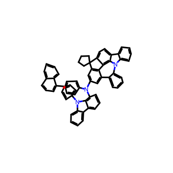 c1ccc(-n2c3ccccc3c3cccc(N(c4ccc(-c5cccc6ccccc56)cc4)c4cc5c6c(c4)C4(CCCC4)c4ccc7c8ccccc8n(c7c4-6)-c4ccccc4-5)c32)cc1